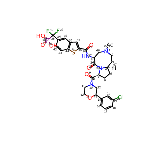 CC(=O)N1CC[C@H]2CC[C@@H](C(=O)N3CCOC(c4cccc(Cl)c4)C3)N2C(=O)[C@@H](NC(=O)c2cc3cc(C(F)(F)P(=O)(O)O)ccc3s2)C1